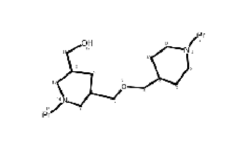 CC(C)N1CCC(COCC2CC(CO)CN(C(C)C)C2)CC1